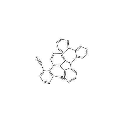 N#Cc1cccc(C#N)c1-c1cccc2c1c1ccccc1n2-c1ccccc1-c1ccccc1